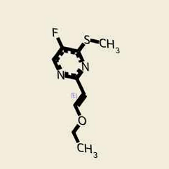 CCO/C=C/c1ncc(F)c(SC)n1